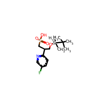 CC(C)(C)[Si](C)(C)OCC(CS(=O)(=O)O)c1ccc(F)cn1